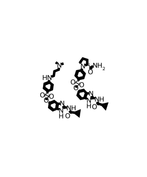 CN(C)CCCNc1ccc(S(=O)(=O)Oc2ccc3[nH]c(NC(=O)C4CC4)nc3c2)cc1.NC(=O)[C@H]1CCCN1c1ccc(S(=O)(=O)Oc2ccc3[nH]c(NC(=O)C4CC4)nc3c2)cc1